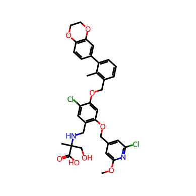 COc1cc(COc2cc(OCc3cccc(-c4ccc5c(c4)OCCO5)c3C)c(Cl)cc2CNC(C)(CO)C(=O)O)cc(Cl)n1